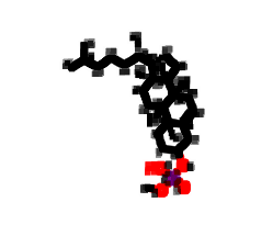 COP(=O)(O)OC1CC[C@]2(C)C(=CC[C@@H]3[C@H]4CC[C@@H]([C@@H](C)CCCC(C)C)[C@]4(C)CC[C@H]32)C1